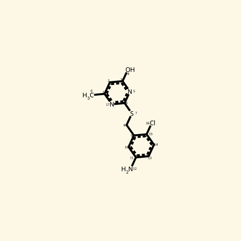 Cc1cc(O)nc(SCc2cc(N)ccc2Cl)n1